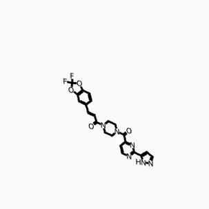 O=C(/C=C/c1ccc2c(c1)OC(F)(F)O2)N1CCN(C(=O)c2ccnc(-c3ccn[nH]3)n2)CC1